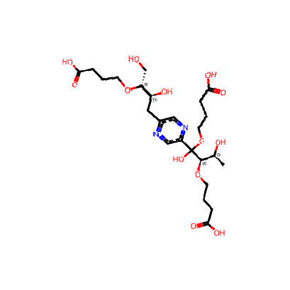 C[C@H](O)[C@@H](OCCCC(=O)O)C(O)(OCCCC(=O)O)c1cnc(C[C@H](O)[C@@H](CO)OCCCC(=O)O)cn1